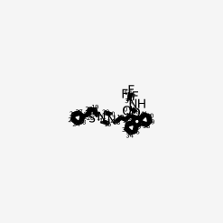 O=C(NCC(F)(F)F)OC1(CCCCN2CCN(c3ccc(-c4ccccc4)s3)CC2)c2ccccc2-c2ccccc21